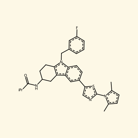 Cc1ccc(C)n1-c1ncc(-c2ccc3c(c2)c2c(n3Cc3cccc(F)c3)CCC(NC(=O)C(C)C)C2)s1